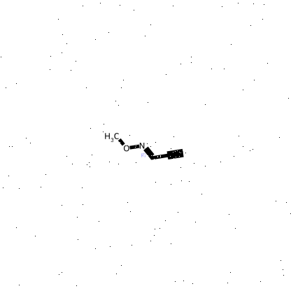 [C]#C/C=N/OC